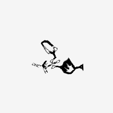 C[C@@H](C=O)NP(=O)(OCC1OCCO1)Oc1ccc(C2CC2)cc1